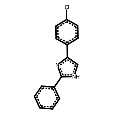 Clc1ccc(-c2c[nH]c(-c3ccccc3)n2)cc1